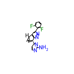 CC1(C)[C@H]2CC[C@@]1(c1ccnc(N)n1)c1nnc(-c3c(F)cccc3F)cc12